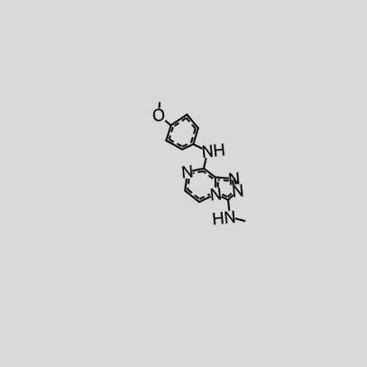 CNc1nnc2c(Nc3ccc(OC)cc3)nccn12